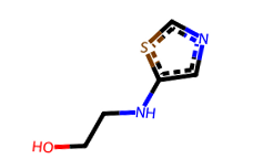 OCCNc1cncs1